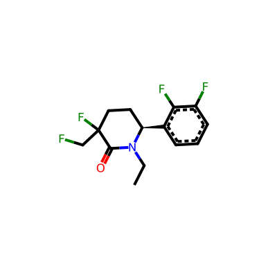 CCN1C(=O)C(F)(CF)CC[C@H]1c1cccc(F)c1F